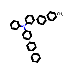 C.c1ccc(N(c2ccccc2)c2ccccc2)cc1.c1ccccc1.c1ccccc1.c1ccccc1.c1ccccc1